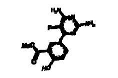 COC(=O)c1cc(-c2nc(N)nc(N)c2F)ccc1O